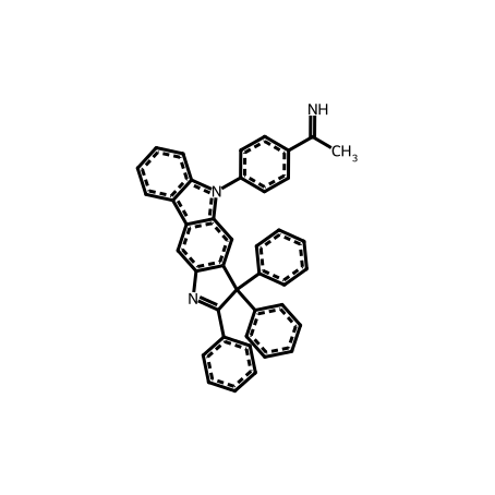 CC(=N)c1ccc(-n2c3ccccc3c3cc4c(cc32)C(c2ccccc2)(c2ccccc2)C(c2ccccc2)=N4)cc1